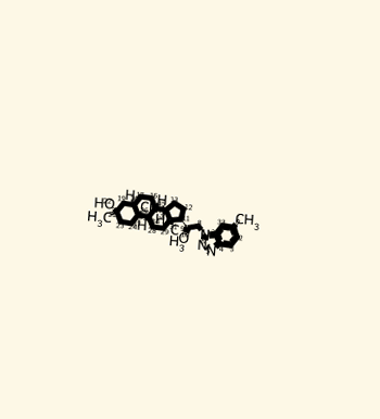 Cc1ccc2nnn(CC(=O)[C@H]3CC[C@H]4[C@@H]5CC[C@@H]6C[C@](C)(O)CC[C@]6(C)[C@H]5CC[C@]34C)c2c1